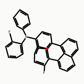 Fc1ccccc1-c1cccc2cccc(-c3ccc(N(c4ccccc4)c4ccccc4F)cc3)c12